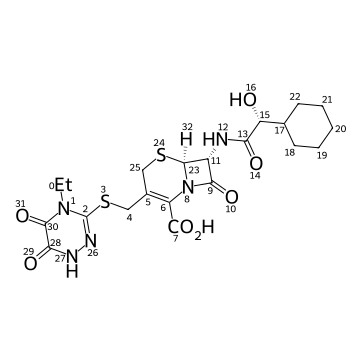 CCn1c(SCC2=C(C(=O)O)N3C(=O)[C@@H](NC(=O)[C@H](O)C4CCCCC4)[C@@H]3SC2)n[nH]c(=O)c1=O